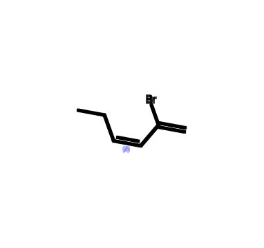 C=C(Br)/C=C\CC